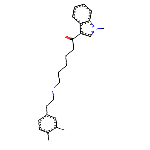 COc1ccc(CCNCCCCCC(=O)c2cn(C)c3ccccc23)cc1OC